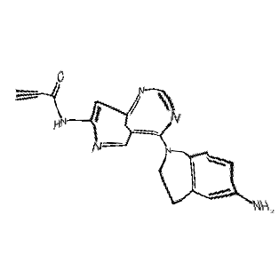 C#CC(=O)Nc1cc2ncnc(N3CCc4cc(N)ccc43)c2cn1